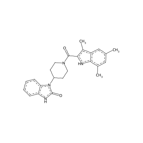 Cc1cc(C)c2[nH]c(C(=O)N3CCC(n4c(=O)[nH]c5ccccc54)CC3)c(C)c2c1